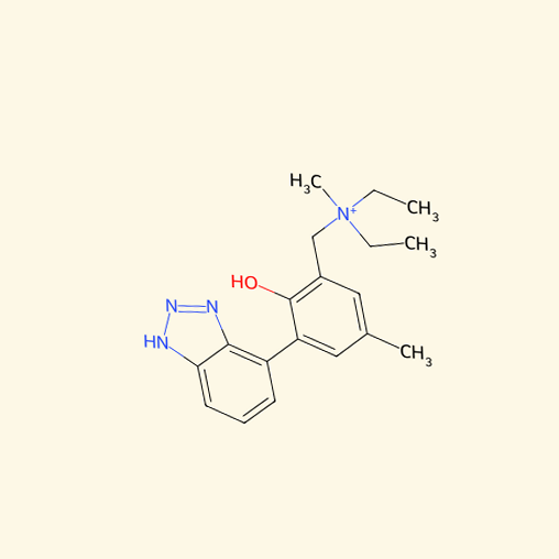 CC[N+](C)(CC)Cc1cc(C)cc(-c2cccc3[nH]nnc23)c1O